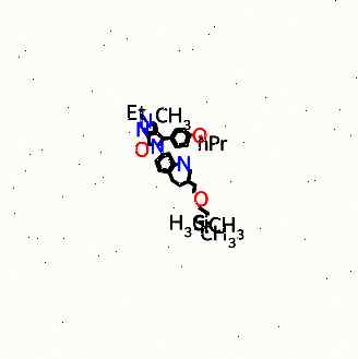 CCCOc1ccc(C2c3c(nn(CC)c3C)C(=O)N2c2ccc3c(c2)N=CC(CCOCC[Si](C)(C)C)CC3)cc1